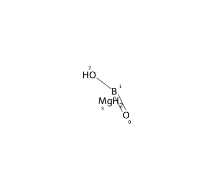 O=BO.[MgH2]